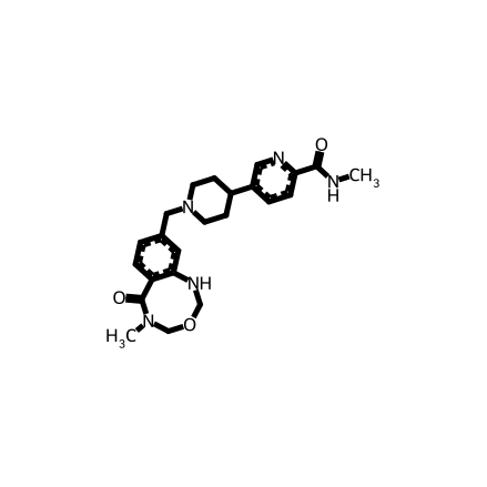 CNC(=O)c1ccc(C2CCN(Cc3ccc4c(c3)NCOCN(C)C4=O)CC2)cn1